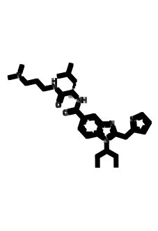 CCC(CC)n1c(Cc2cccs2)nc2cc(C(=O)N[C@@H](CC(C)C)C(=O)NCCCN(C)C)ccc21